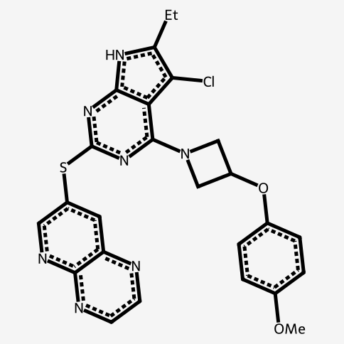 CCc1[nH]c2nc(Sc3cnc4nccnc4c3)nc(N3CC(Oc4ccc(OC)cc4)C3)c2c1Cl